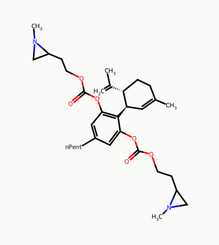 C=C(C)[C@@H]1CCC(C)=C[C@H]1c1c(OC(=O)OCCC2CN2C)cc(CCCCC)cc1OC(=O)OCCC1CN1C